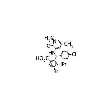 Cc1cc(NC(c2ccc(Cl)cc2)c2c(C(=O)O)nc(Br)n2C(C)C)c(=O)n(C)c1